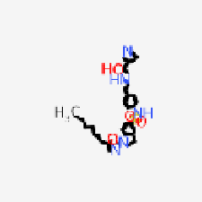 CCCCCCCCc1cnc(N2CCc3cc(S(=O)(=O)Nc4ccc(CCNCC(O)c5cccnc5)cc4)ccc32)o1